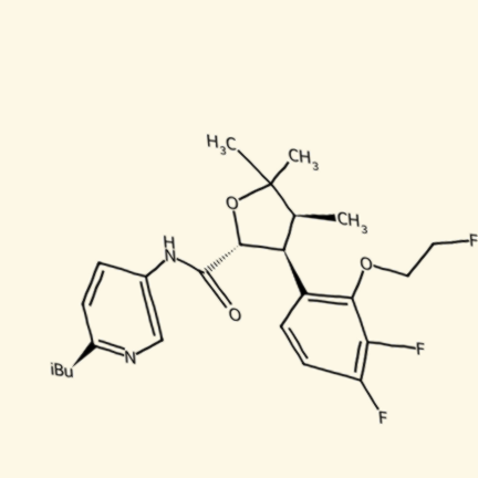 CC[C@H](C)c1ccc(NC(=O)[C@@H]2OC(C)(C)[C@@H](C)[C@H]2c2ccc(F)c(F)c2OCCF)cn1